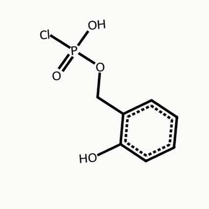 O=P(O)(Cl)OCc1ccccc1O